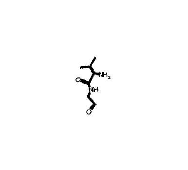 CC(C)C(N)C(=O)NC[C]=O